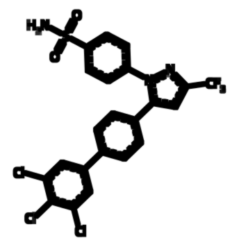 NS(=O)(=O)c1ccc(-n2nc(C(F)(F)F)cc2-c2ccc(-c3cc(Cl)c(Cl)c(Cl)c3)cc2)cc1